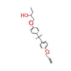 C#CCOc1ccc(C(C)(C)c2ccc(OC[C@@H](O)CC)cc2)cc1